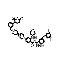 O=C1CCC(c2cccc(CN3CCC(N4CCN(c5ccc(C(=O)Nc6n[nH]c7ccc(Cc8cc(F)cc(F)c8)cc67)c(NC6CCOCC6)c5)CC4)CC3)c2)C(=O)N1